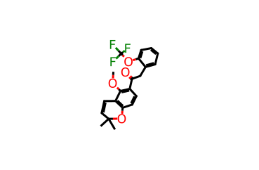 COc1c(C(=O)Cc2ccccc2OC(F)(F)F)ccc2c1C=CC(C)(C)O2